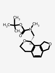 CN(C[C@H]1OCCc2ccc3c(c21)COC3)C(=O)OC(C)(C)C